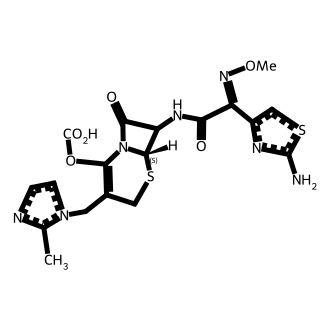 CON=C(C(=O)NC1C(=O)N2C(OC(=O)O)=C(Cn3ccnc3C)CS[C@@H]12)c1csc(N)n1